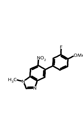 COc1ccc(-c2cc3ncn(C)c3cc2[N+](=O)[O-])cc1F